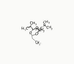 CN(C)C.[CH2]CC(O[SiH3])OC(=O)C(=C)C